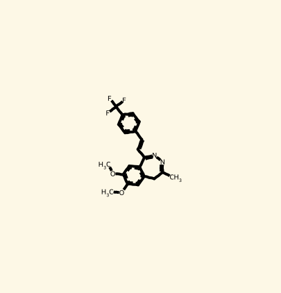 COc1cc2c(cc1OC)C(C=Cc1ccc(C(F)(F)F)cc1)=NN=C(C)C2